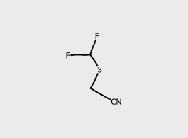 N#CCSC(F)F